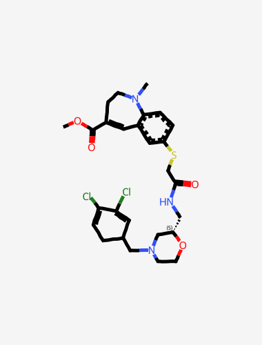 COC(=O)C1=Cc2cc(SCC(=O)NC[C@H]3CN(CC4C=C(Cl)C(Cl)=CC4)CCO3)ccc2N(C)CC1